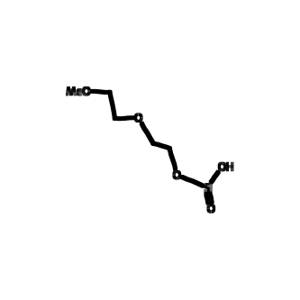 COCCOCCO[Si](=O)O